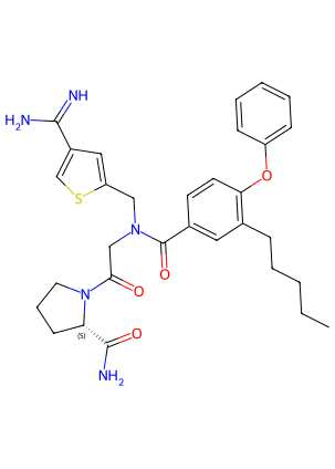 CCCCCc1cc(C(=O)N(CC(=O)N2CCC[C@H]2C(N)=O)Cc2cc(C(=N)N)cs2)ccc1Oc1ccccc1